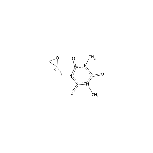 Cn1c(=O)n(C)c(=O)n(C[C@@H]2CO2)c1=O